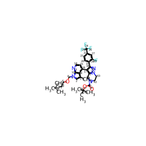 Cc1cn(COCC[Si](C)(C)C)c2nccc(-c3c(-c4ccc(C(F)(F)F)cc4F)nn4c3CN(C(=O)OC(C)(C)C)CC4)c12